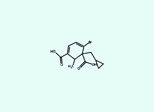 CC1C(C(=O)O)=CC=C(Br)C1(CC1CC1)C(=O)O